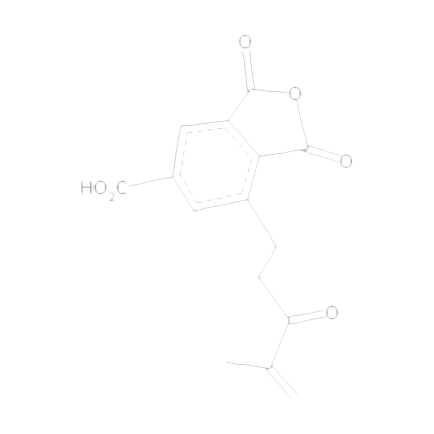 C=C(C)C(=O)CCc1cc(C(=O)O)cc2c1C(=O)OC2=O